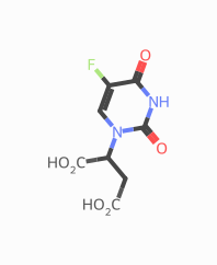 O=C(O)CC(C(=O)O)n1cc(F)c(=O)[nH]c1=O